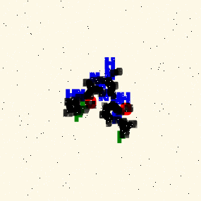 CNc1cc(Nc2cccn([C@H]3C[C@@H]3F)c2=O)nc2c(C(=O)NC3CCC3(F)F)cnn12